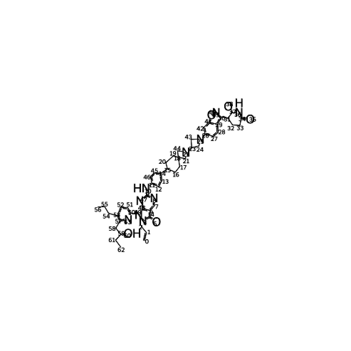 C=CCn1c(=O)c2cnc(Nc3ccc(C4CCC5(CC4)CN(C4CN(c6ccc7c(C8CCC(=O)NC8=O)noc7c6)C4)C5)cc3)nc2n1-c1ccc(CCC)c(CC(O)CC)n1